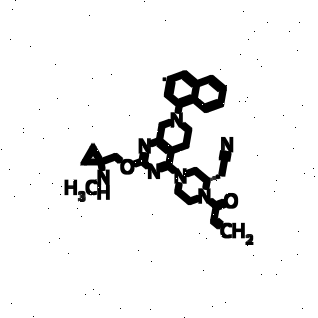 C=CC(=O)N1CCN(c2nc(OCC3(NC)CC3)nc3c2CCN(c2c[c]cc4ccccc24)C3)C[C@@H]1CC#N